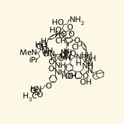 CN[C@H](CC(C)C)C(=O)N[C@H]1C(=O)N[C@@H](CC(=O)NC(=O)Nc2ccc(OCCNS(C)(=O)=O)cc2)C(=O)N[C@H]2C(=O)N[C@H]3C(=O)N[C@H](C(=O)N[C@H](C(=O)NC4C5CC6CC(C5)CC4C6)c4cc(O)cc(O)c4-c4cc3ccc4O)[C@H](O)c3ccc(c(Cl)c3)Oc3cc2cc(c3O[C@@H]2O[C@H](CN)[C@@H](O)[C@H](O)[C@H]2O)Oc2ccc(cc2C)[C@H]1O